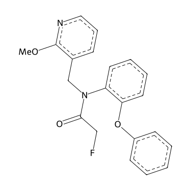 COc1ncccc1CN(C(=O)CF)c1ccccc1Oc1ccccc1